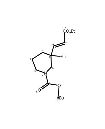 CCCCOC(=O)N1CCCC(F)(C=CC(=O)OCC)C1